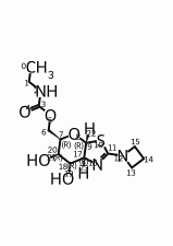 CCNC(=O)OC[C@H]1O[C@@H]2SC(N3CCC3)=N[C@@H]2[C@@H](O)[C@H]1O